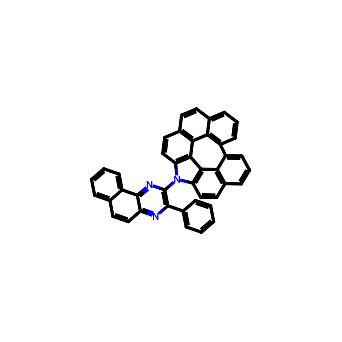 c1ccc(-c2nc3ccc4ccccc4c3nc2-n2c3ccc4cccc5c4c3c3c4c(ccc6cccc-5c64)ccc32)cc1